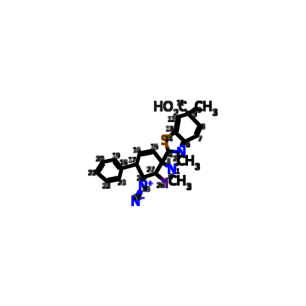 CN(C)C1(C2N=C3C=CC(C)(C(=O)O)C=C3S2)C=CC(c2ccccc2)C(=[N+]=[N-])C1I